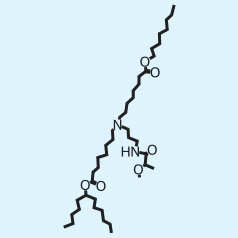 CCCCCCCCOC(=O)CCCCCCCN(CCCCCCCC(=O)OC(CCCCC)CCCCCC)CCCNC(=O)C(C)OC